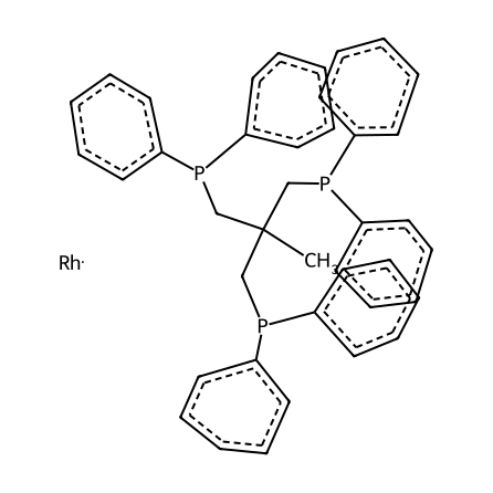 CC(CP(c1ccccc1)c1ccccc1)(CP(c1ccccc1)c1ccccc1)CP(c1ccccc1)c1ccccc1.[Rh]